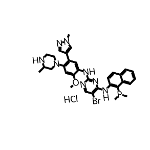 COc1cc(N2CCNC(C)C2)c(-c2cnn(C)c2)cc1Nc1ncc(Br)c(Nc2ccc3ccccc3c2P(C)C)n1.Cl